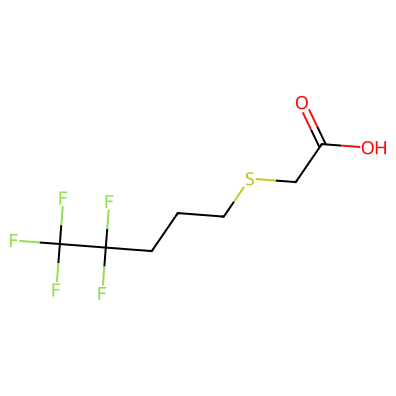 O=C(O)CSCCCC(F)(F)C(F)(F)F